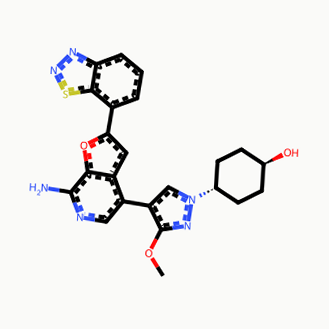 COc1nn([C@H]2CC[C@H](O)CC2)cc1-c1cnc(N)c2oc(-c3cccc4nnsc34)cc12